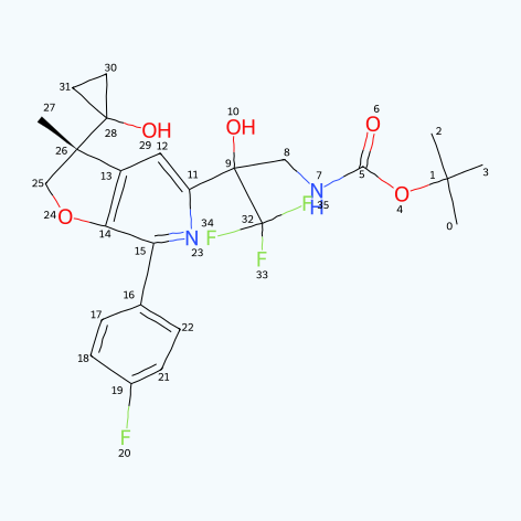 CC(C)(C)OC(=O)NCC(O)(c1cc2c(c(-c3ccc(F)cc3)n1)OC[C@]2(C)C1(O)CC1)C(F)(F)F